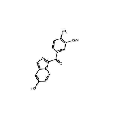 COc1cc(C(=O)c2ncc3cc(O)ccn23)ccc1N